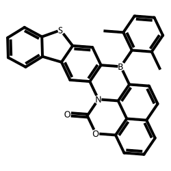 Cc1cccc(C)c1B1c2cc3sc4ccccc4c3cc2N2C(=O)Oc3cccc4ccc1c2c34